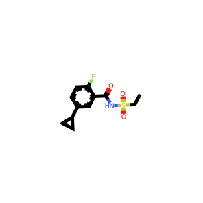 CCS(=O)(=O)NC(=O)c1cc(C2CC2)ccc1F